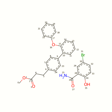 COC(=O)CCc1ccc(-c2ccccc2Oc2ccccc2)cc1.NC(=O)c1cc(Br)ccc1O